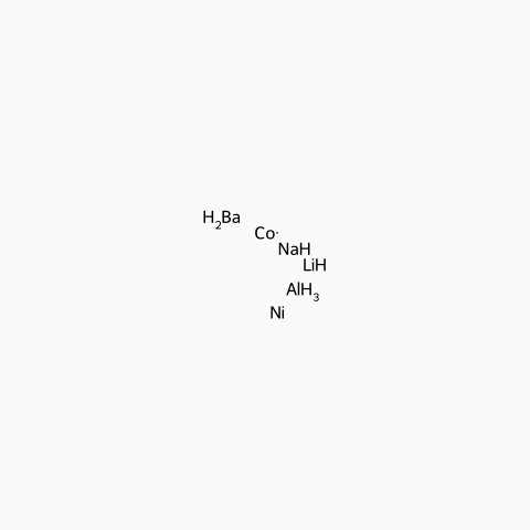 [AlH3].[BaH2].[Co].[LiH].[NaH].[Ni]